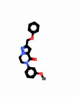 CCOc1cccc(N2CCn3nc(COc4ccccc4)cc3C2=O)c1